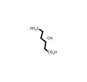 O=C(O)CCCCC(=O)O.[CH]